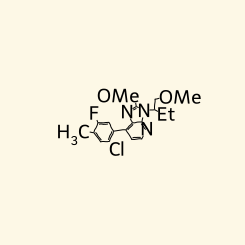 CCC(COC)n1c(OC)nc2c(-c3cc(F)c(C)cc3Cl)ccnc21